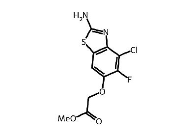 COC(=O)COc1cc2sc(N)nc2c(Cl)c1F